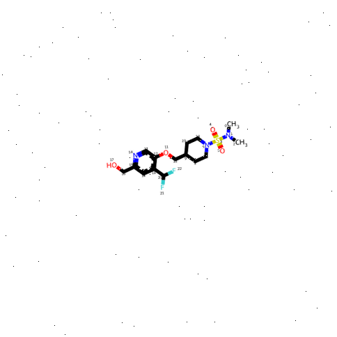 CN(C)S(=O)(=O)N1CCC(COc2cnc(CO)cc2C(F)F)CC1